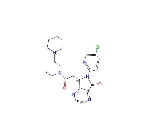 CCN(CCN1CCCCC1)C(=O)C[C@H]1c2nccnc2C(=O)N1c1ccc(Cl)cn1